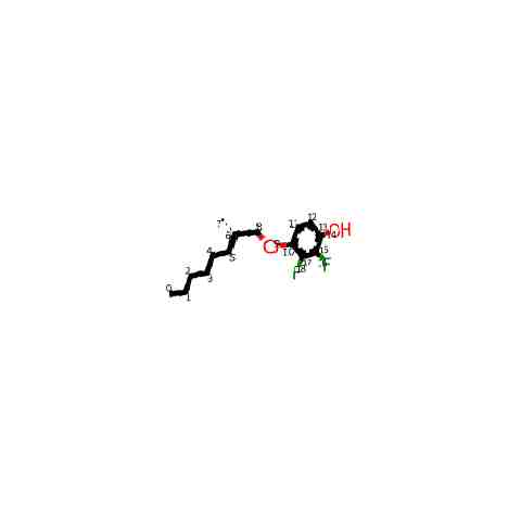 CCCCCC[C@H](C)COc1ccc(O)c(F)c1F